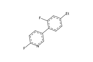 CCc1ccc(-c2ccc(F)nc2)c(F)c1